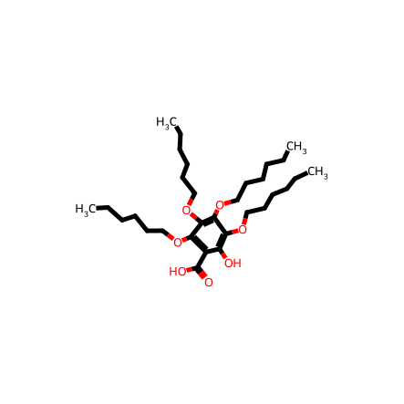 CCCCCCOc1c(O)c(C(=O)O)c(OCCCCCC)c(OCCCCCC)c1OCCCCCC